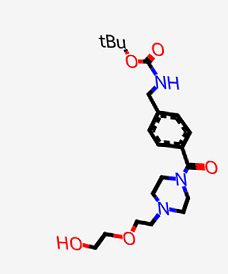 CC(C)(C)OC(=O)NCc1ccc(C(=O)N2CCN(CCOCCO)CC2)cc1